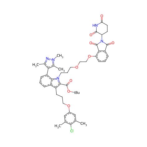 Cc1cc(OCCCc2c(C(=O)OC(C)(C)C)n(CCCOCCOc3cccc4c3C(=O)N(C3CCC(=O)NC3=O)C4=O)c3c(-c4c(C)nn(C)c4C)cccc23)cc(C)c1Cl